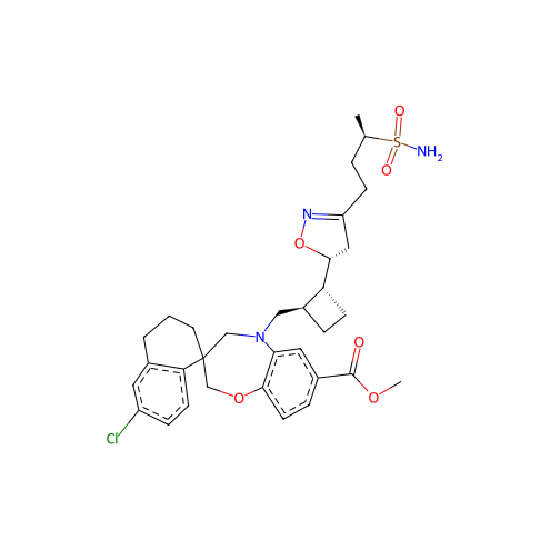 COC(=O)c1ccc2c(c1)N(C[C@@H]1CC[C@H]1[C@H]1CC(CC[C@@H](C)S(N)(=O)=O)=NO1)CC1(CCCc3cc(Cl)ccc31)CO2